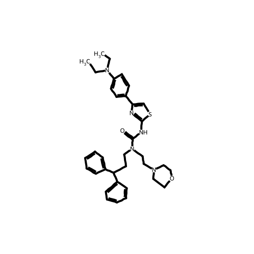 CCN(CC)c1ccc(-c2csc(NC(=O)N(CCC(c3ccccc3)c3ccccc3)CCN3CCOCC3)n2)cc1